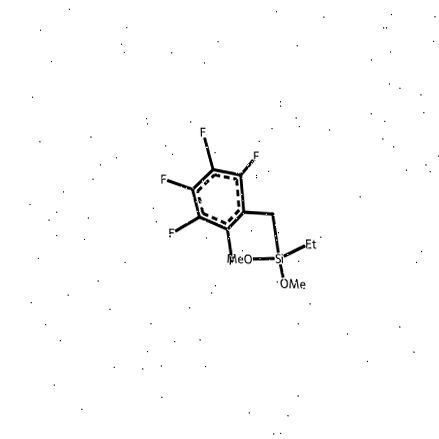 CC[Si](Cc1c(F)c(F)c(F)c(F)c1F)(OC)OC